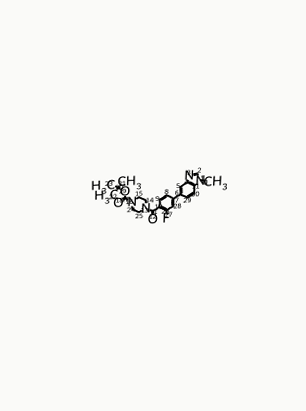 Cn1cnc2cc(-c3ccc(C(=O)N4CCN(C(=O)OC(C)(C)C)CC4)c(F)c3)ccc21